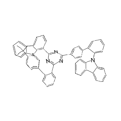 CC(C)(C)c1ccc(-c2ccccc2-c2nc(-c3ccc(-c4ccccc4-n4c5ccccc5c5ccccc54)cc3)nc(-c3cccc4c3sc3ccccc34)n2)cc1